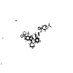 CCN1CCN(C(=O)CCCN2CCn3c(c(C4CCCCC4)c4ccc(C(=O)O)cc43)-c3ccccc32)CC1